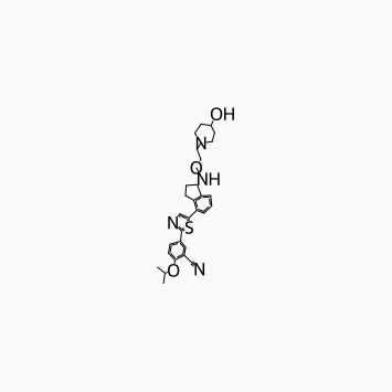 CC(C)Oc1ccc(-c2ncc(-c3cccc4c3CCC4NOCCN3CCC(O)CC3)s2)cc1C#N